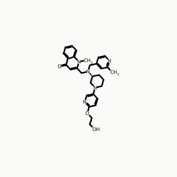 Cc1cc(CN(Cc2cc(=O)c3ccccc3n2C)[C@H]2CCCN(c3ccc(OCCO)nc3)C2)ccn1